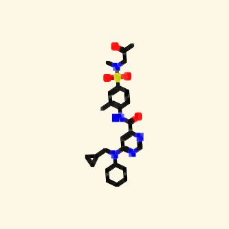 CC(=O)CN(C)S(=O)(=O)c1ccc(NC(=O)c2cc(N(CC3CC3)C3CCCCC3)ncn2)c(C)c1